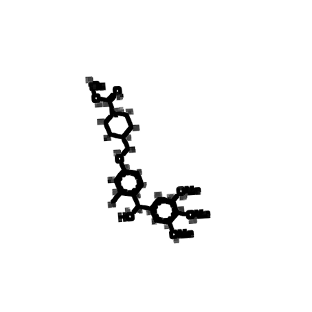 COc1cc(C(O)c2ccc(OCC3CCN(C(=O)OC(C)(C)C)CC3)cc2C)cc(OC)c1OC